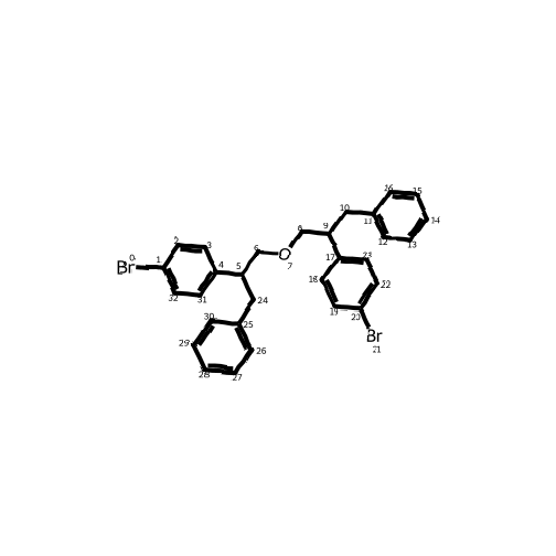 Brc1ccc(C(COCC(Cc2ccccc2)c2ccc(Br)cc2)Cc2ccccc2)cc1